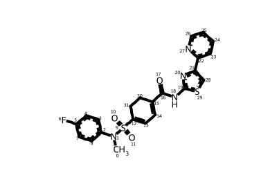 CN(c1ccc(F)cc1)S(=O)(=O)C1=CC=C(C(=O)Nc2nc(-c3ccccn3)cs2)CC1